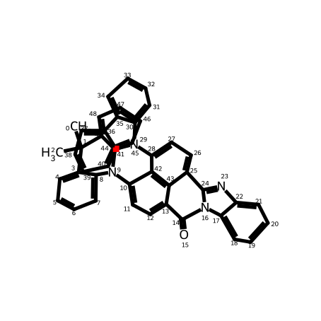 CC1(C)c2ccccc2N(c2ccc3c(=O)n4c5ccccc5nc4c4ccc(-n5c6ccccc6c6ccccc65)c2c34)c2ccccc21